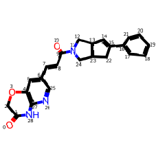 O=C1COc2cc(/C=C/C(=O)N3CC4C=C(c5ccccc5)CC4C3)cnc2N1